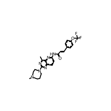 Cc1nc(N2CCCN(C)CC2)nc2ccc(NC(=O)C=Cc3ccc(OC(F)(F)F)cc3)nc12